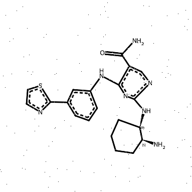 NC(=O)c1cnc(N[C@@H]2CCCC[C@@H]2N)nc1Nc1cccc(-c2nccs2)c1